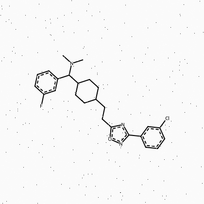 CN(C)C(c1cccc(F)c1)C1CCC(CCc2nc(-c3cccc(Cl)c3)no2)CC1